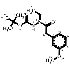 CCN(NC(=O)OC(C)(C)C)C(=O)Cc1cccc(OC)c1